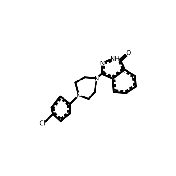 O=c1[nH]nc(N2CCN(c3ccc(Cl)cc3)CC2)c2ccccc12